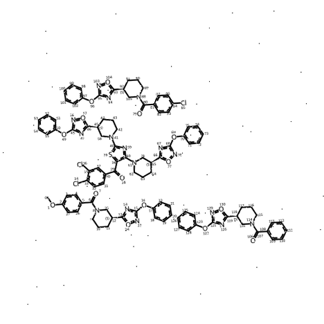 COc1ccc(C(=O)N2CCC[C@H](c3nc(Oc4ccccc4)no3)C2)cc1.O=C(c1ccc(Cl)c(Cl)c1)c1sc(N2CCC[C@H](c3nc(Oc4ccccc4)no3)C2)nc1N1CCC[C@H](c2nc(Oc3ccccc3)no2)C1.O=C(c1ccc(Cl)cc1)N1CCC[C@H](c2nc(Oc3ccccc3)no2)C1.O=C(c1ccccc1)N1CCC[C@H](c2nc(Oc3ccccc3)no2)C1